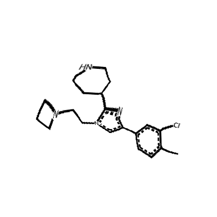 Cc1ccc(-c2cn(CCN3CCC3)c(C3CCNCC3)n2)cc1Cl